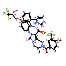 C[C@H]1Cn2c(c(C(=O)NCc3ccccc3-c3ccncn3)n(-c3ccc(OC[C@H](O)C(F)(F)F)cc3)c2=O)CN1C(=O)c1ccc(Br)c(C(F)(F)F)c1